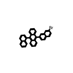 Brc1ccc2ccc(-c3c4ccccc4c(-c4cccc5ccccc45)c4ccccc34)cc2c1